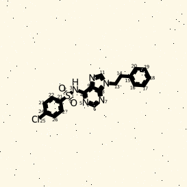 O=S(=O)(Nc1ncnc2c1ncn2CCc1ccccc1)c1ccc(Cl)cc1